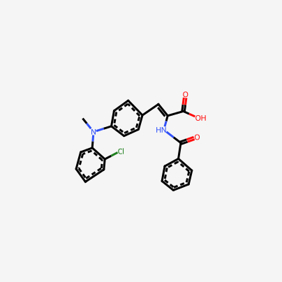 CN(c1ccc(/C=C(\NC(=O)c2ccccc2)C(=O)O)cc1)c1ccccc1Cl